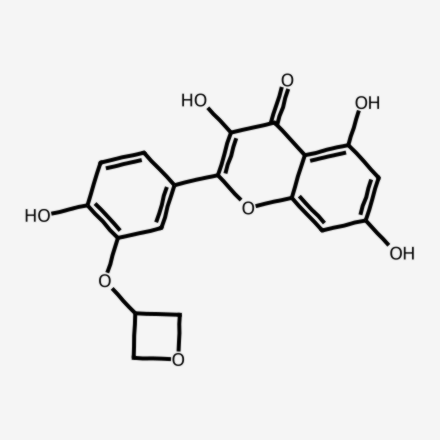 O=c1c(O)c(-c2ccc(O)c(OC3COC3)c2)oc2cc(O)cc(O)c12